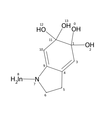 OC1(O)C=C2CC[N]([InH2])C2=CC1(O)O